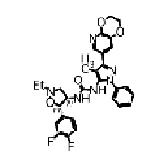 CCN1C[C@@H](NC(=O)Nc2c(C)c(-c3cnc4c(c3)OCCO4)nn2-c2ccccc2)[C@H](c2ccc(F)c(F)c2)O1